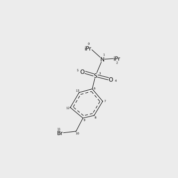 CC(C)N(C(C)C)S(=O)(=O)c1ccc(CBr)cc1